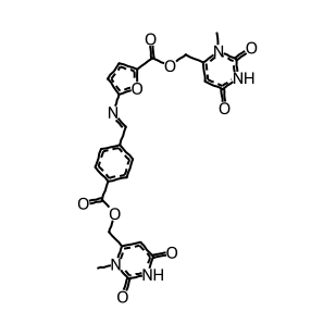 Cn1c(COC(=O)c2ccc(/C=N/c3ccc(C(=O)OCc4cc(=O)[nH]c(=O)n4C)o3)cc2)cc(=O)[nH]c1=O